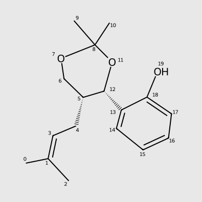 CC(C)=CC[C@@H]1COC(C)(C)O[C@@H]1c1ccccc1O